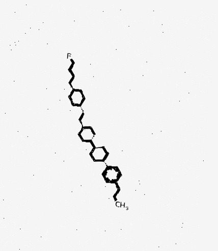 CCCc1ccc([C@H]2CC[C@H]([C@H]3CC[C@H](CC[C@H]4CC[C@H](CCCCF)CC4)CC3)CC2)cc1